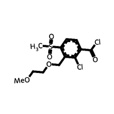 COCCOCc1c(S(C)(=O)=O)ccc(C(=O)Cl)c1Cl